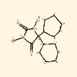 O=C1N(Cl)C(=O)C(C2CCCCC2)(C2CCCCC2)N1Cl